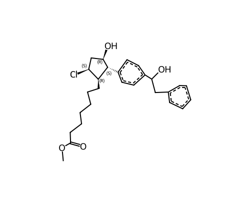 COC(=O)CCCCCC[C@@H]1[C@@H](c2ccc(C(O)Cc3ccccc3)cc2)[C@H](O)C[C@@H]1Cl